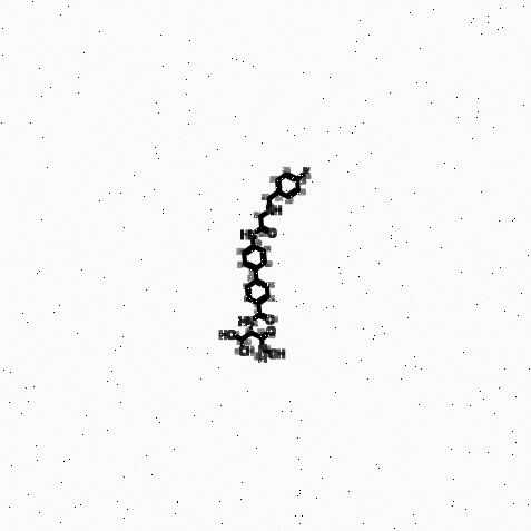 C[C@@H](O)[C@H](NC(=O)c1ccc(-c2ccc(NC(=O)CNCc3ccc(F)cc3)cc2)cc1)C(=O)NO